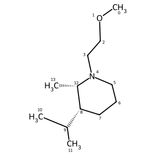 COCCN1CCC[C@H](C(C)C)[C@@H]1C